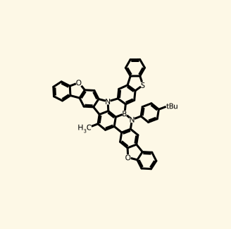 Cc1cc2c3c4c1c1cc5c(cc1n4-c1cc4c(cc1B3N(c1ccc(C(C)(C)C)cc1)c1cc3c(cc1-2)oc1ccccc13)sc1ccccc14)oc1ccccc15